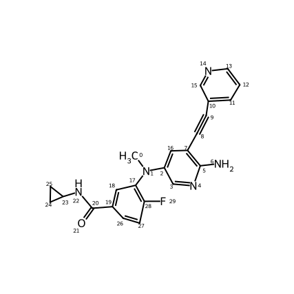 CN(c1cnc(N)c(C#Cc2cccnc2)c1)c1cc(C(=O)NC2CC2)ccc1F